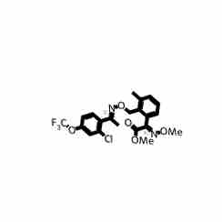 CO/N=C(/C(=O)OC)c1cccc(C)c1CO/N=C(\C)c1ccc(OC(F)(F)F)cc1Cl